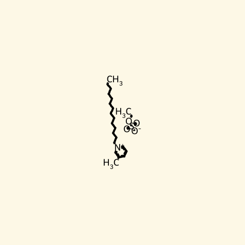 CCCCCCCCCCCCCC[n+]1cccc(C)c1.CCOS(=O)(=O)[O-]